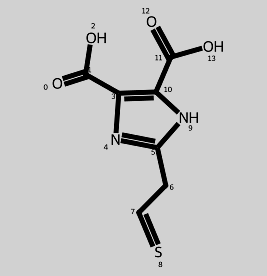 O=C(O)c1nc(C[C]=S)[nH]c1C(=O)O